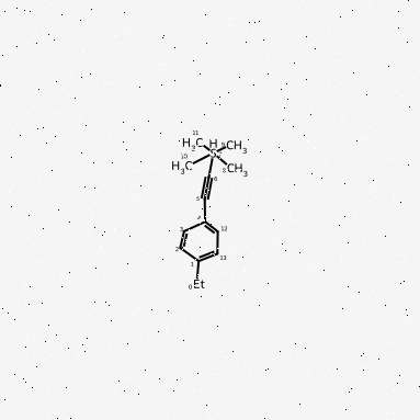 CCc1ccc(C#C[SH](C)(C)(C)C)cc1